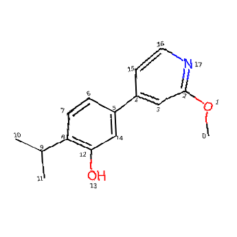 COc1cc(-c2ccc(C(C)C)c(O)c2)ccn1